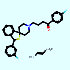 O=C(CCCN1CCC2(CC1)SC(c1cccc(F)c1)c1ccccc12)c1ccc(F)cc1.O=C(O)C=CC(=O)O